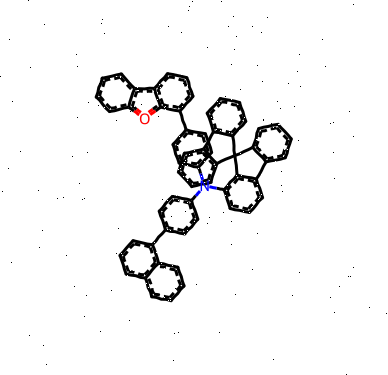 c1ccc2c(c1)-c1ccccc1C21c2ccccc2-c2cccc(N(c3ccc(-c4cccc5ccccc45)cc3)c3ccc(-c4cccc5c4oc4ccccc45)cc3)c21